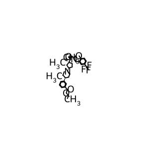 CCOC(=O)c1cccc([C@@H]2CCN([C@@H]3CC[C@@](C(=O)N4COc5ccc(C(F)(F)F)cc5C4)(C(C)C)C3)C[C@H]2C)c1